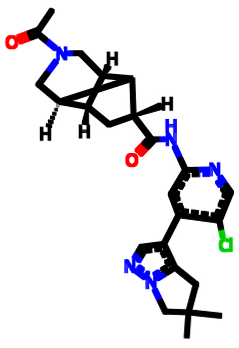 CC(=O)N1C[C@@H]2C3[C@H](C(=O)Nc4cc(-c5cnn6c5CC(C)(C)C6)c(Cl)cn4)C[C@@H]2[C@H]3C1